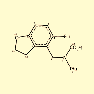 CC(C)(C)N(Cc1c(F)ccc2c1CCO2)C(=O)O